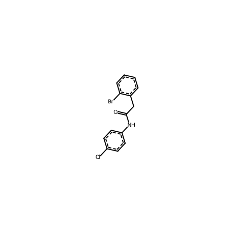 O=C(Cc1ccccc1Br)Nc1ccc(Cl)cc1